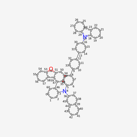 c1ccc(N(c2ccc(-c3ccc(-c4ccc(-n5c6ccccc6c6ccccc65)cc4)cc3)cc2)c2ccc3ccccc3c2)c(-c2cccc3oc4ccccc4c23)c1